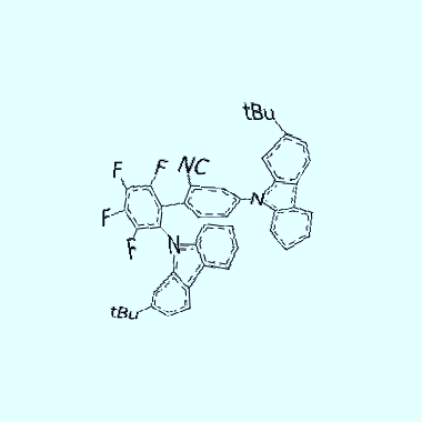 CC(C)(C)c1ccc2c3ccccc3n(-c3ccc(-c4c(F)c(F)c(F)c(F)c4-n4c5ccccc5c5ccc(C(C)(C)C)cc54)c(C#N)c3)c2c1